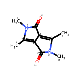 CC1=C2C(=O)N(C)C(C)=C2C(=O)N1C